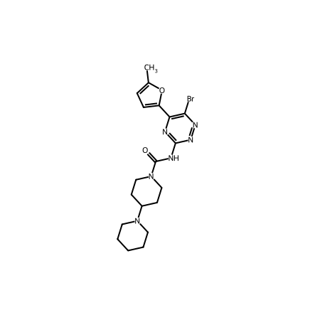 Cc1ccc(-c2nc(NC(=O)N3CCC(N4CCCCC4)CC3)nnc2Br)o1